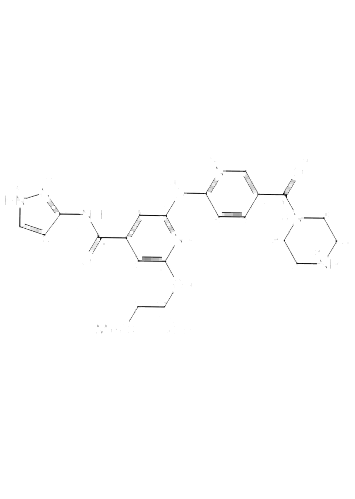 COC[C@@H](C)Oc1cc(C(=O)Nc2cc[nH]n2)cc(Oc2ccc(C(=O)N3CCNCC3)cn2)n1